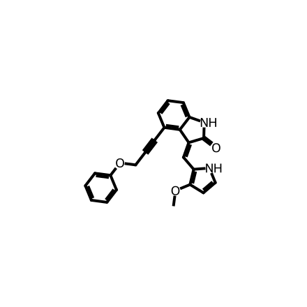 COc1cc[nH]c1/C=C1\C(=O)Nc2cccc(C#CCOc3ccccc3)c21